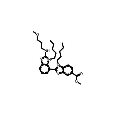 CCCCCn1c(-c2cccc3nc(NCCCOC)n(CCCCC)c23)nc2cc(C(=O)OC)ccc21